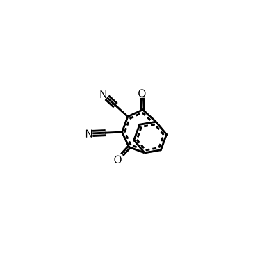 N#Cc1c(C#N)c(=O)c2ccc(cc2)c1=O